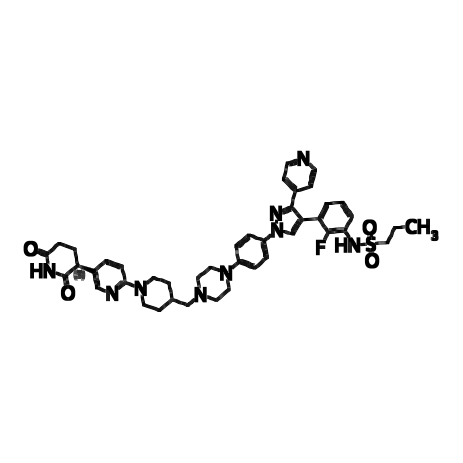 CCCS(=O)(=O)Nc1cccc(-c2cn(-c3ccc(N4CCN(CC5CCN(c6ccc([C@@H]7CCC(=O)NC7=O)cn6)CC5)CC4)cc3)nc2-c2ccncc2)c1F